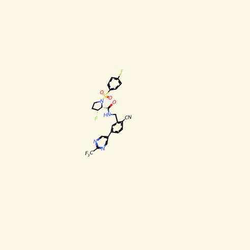 N#Cc1ccc(-c2cnc(C(F)(F)F)nc2)cc1CNC(=O)[C@@H]1[C@H](F)CCN1S(=O)(=O)c1ccc(F)cc1